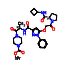 CCCOC(=O)N1CCN(C(=O)[C@@H](C)NC(=O)c2cc(OCC(=O)N3CCC[C@H]3C(=O)NC3CCC3)n(-c3ccccc3)n2)CC1